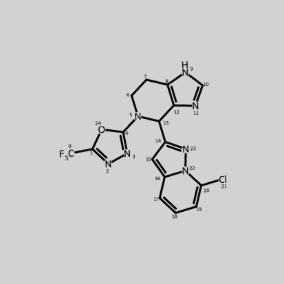 FC(F)(F)c1nnc(N2CCc3[nH]cnc3C2c2cc3cccc(Cl)n3n2)o1